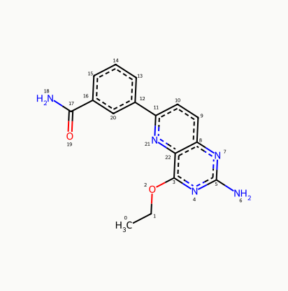 CCOc1nc(N)nc2ccc(-c3cccc(C(N)=O)c3)nc12